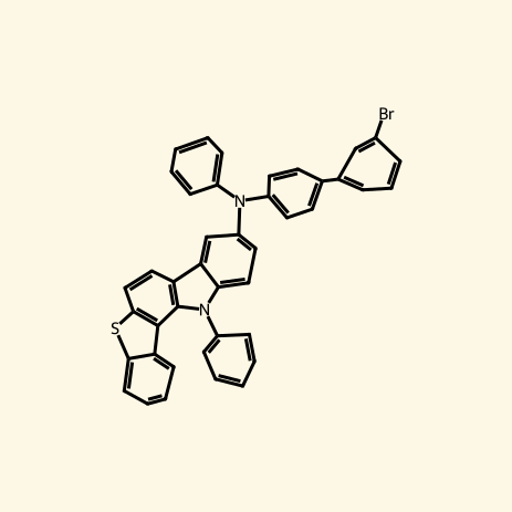 Brc1cccc(-c2ccc(N(c3ccccc3)c3ccc4c(c3)c3ccc5sc6ccccc6c5c3n4-c3ccccc3)cc2)c1